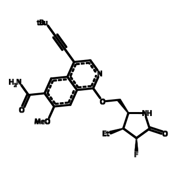 CC[C@@H]1[C@H](F)C(=O)N[C@@H]1COc1ncc(C#CC(C)(C)C)c2cc(C(N)=O)c(OC)cc12